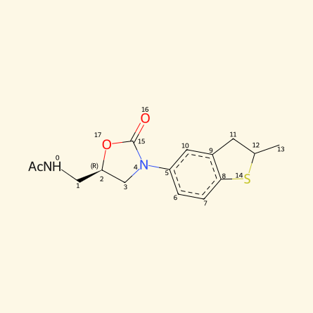 CC(=O)NC[C@@H]1CN(c2ccc3c(c2)CC(C)S3)C(=O)O1